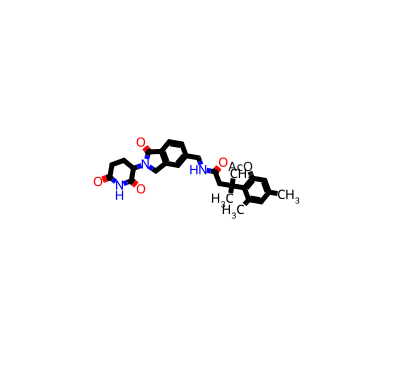 CC(=O)Oc1cc(C)cc(C)c1C(C)(C)CC(=O)NCc1ccc2c(c1)CN(C1CCC(=O)NC1=O)C2=O